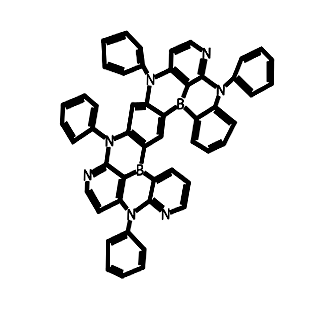 c1ccc(N2c3cc4c(cc3B3c5ccccc5N(c5ccccc5)c5nccc2c53)B2c3cccnc3N(c3ccccc3)c3ccnc(c32)N4c2ccccc2)cc1